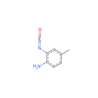 Cc1ccc(N)c(N=C=O)c1